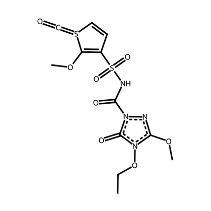 CCOn1c(OC)nn(C(=O)NS(=O)(=O)C2=C(OC)S(=C=O)C=C2)c1=O